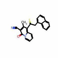 Cc1c(C#N)c(=O)n2ccccc2c1C(=S)Cc1cccc2ccccc12